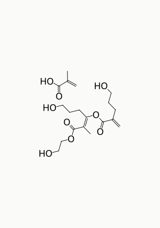 C=C(C)C(=O)O.C=C(CCCO)C(=O)OC(CCCO)=C(C)C(=O)OCCO